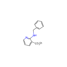 CCOC(=O)c1cccnc1NCc1ccccc1